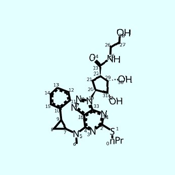 CCCSc1nc(N(C)C2CC2c2ccccc2)c2nnn([C@H]3C[C@@H](C(=O)NCCO)[C@H](O)[C@@H]3O)c2n1